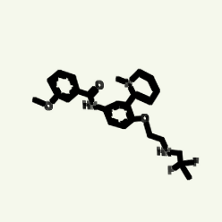 COc1cccc(C(=O)Nc2ccc(OCCNCC(C)(F)F)c(C3=CC=C=CN3C)c2)c1